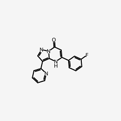 O=c1cc(-c2cccc(F)c2)[nH]c2c(-c3ccccn3)cnn12